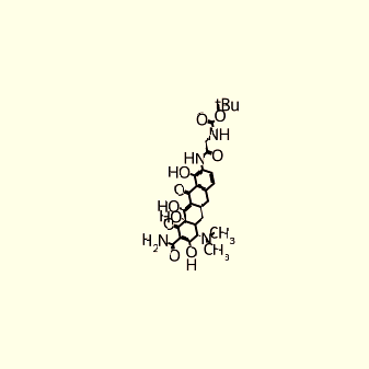 CN(C)[C@@H]1C(O)=C(C(N)=O)C(=O)[C@@]2(O)C(O)=C3C(=O)c4c(ccc(NC(=O)CNC(=O)OC(C)(C)C)c4O)CC3CC12